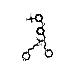 FC(F)(F)c1cccc(Oc2cccc(CN(CCN3CCCCC3)C(=S)NCCCN3CCOCC3)c2)c1